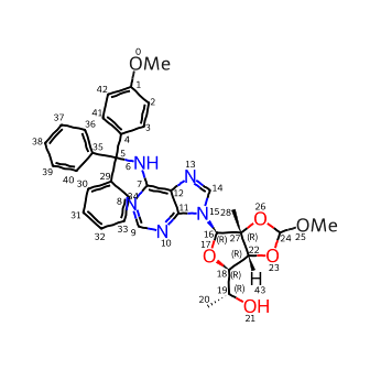 COc1ccc(C(Nc2ncnc3c2ncn3[C@@H]2O[C@H]([C@@H](C)O)[C@H]3OC(OC)O[C@]32C)(c2ccccc2)c2ccccc2)cc1